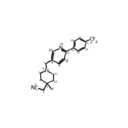 CC1(CC#N)CCN(Cc2ccc(-c3ccc(C(F)(F)F)cc3)nc2)CC1